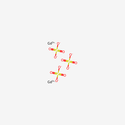 O=S(=O)([O-])[O-].O=S(=O)([O-])[O-].O=S(=O)([O-])[O-].[Gd+3].[Gd+3]